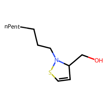 CCCCCCCCN1SC=CC1CO